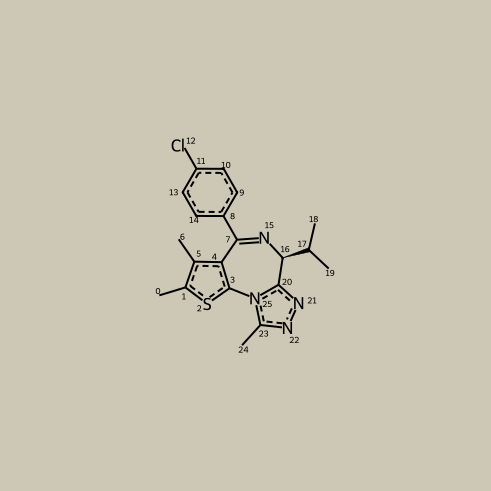 Cc1sc2c(c1C)C(c1ccc(Cl)cc1)=N[C@@H](C(C)C)c1nnc(C)n1-2